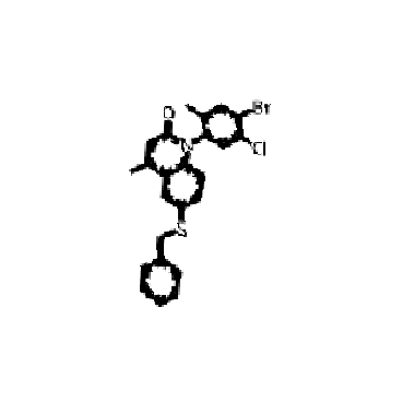 Cc1cc(Br)c(Cl)cc1-n1c(=O)cc(C)c2cc(SCc3ccccc3)ccc21